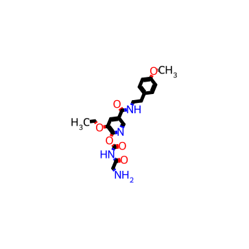 CCOc1cc(C(=O)NCCc2ccc(OC)cc2)cnc1OC(=O)NC(=O)CN